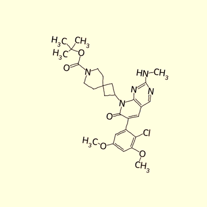 CNc1ncc2cc(-c3cc(OC)cc(OC)c3Cl)c(=O)n(C3CC4(CCN(C(=O)OC(C)(C)C)CC4)C3)c2n1